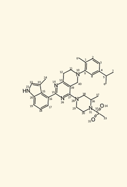 Cc1ccc(C(C)C)cc1N1CCc2nc(-c3cccc4[nH]cc(C)c34)nc(N3CCN(S(C)(=O)=O)C(C)C3)c2C1